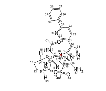 CC(=O)Nc1cncnc1N1[C@@H]2CC[C@H]1C[C@H](c1nc3c(-c4ccc(-c5ccccc5)nc4)cnn3c(N)c1S(C)(=O)=O)C2